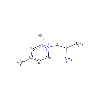 Br.Cc1cc[n+](CC(C)N)cc1